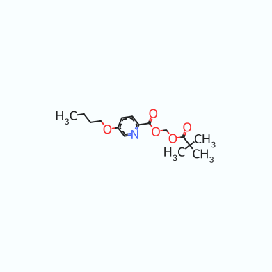 CCCCOc1ccc(C(=O)OCOC(=O)C(C)(C)C)nc1